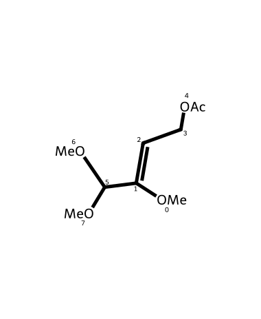 CO/C(=C\COC(C)=O)C(OC)OC